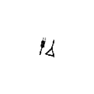 CC#N.CC1CC1